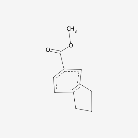 COC(=O)c1ccc2c(c1)CCC2